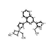 N#CC[C@]1(n2ccc(-c3nc(-c4cn[nH]c4CO)cc4ncccc34)n2)C[C@@H](C#N)C1